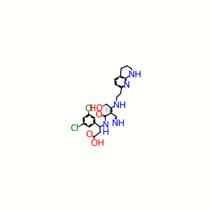 N=C/C(C(=O)NC(CC(=O)O)c1cc(Cl)cc(Cl)c1)=C(/CO)NCCc1ccc2c(n1)NCCC2